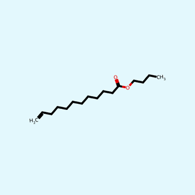 C=CCCCCCCCCCC(=O)OCCCC